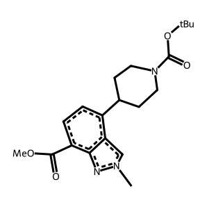 COC(=O)c1ccc(C2CCN(C(=O)OC(C)(C)C)CC2)c2cn(C)nc12